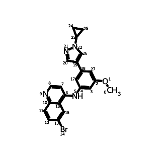 COc1cc(Nc2ccnc3ccc(Br)cc23)cc(-c2cnn(C3CC3)c2)c1